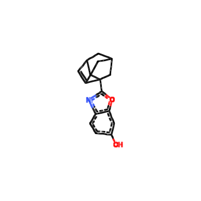 Oc1ccc2nc(C34CC5C=C3CC(C5)C4)oc2c1